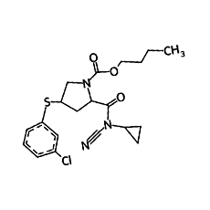 CCCCOC(=O)N1CC(Sc2cccc(Cl)c2)CC1C(=O)N(C#N)C1CC1